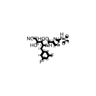 CS(=O)(=O)Nc1nc(C(=O)NC(Cc2cc(F)cc(F)c2)C(O)C(O)CC#N)cs1